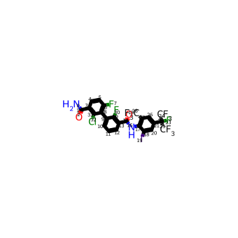 NC(=O)c1ccc(F)c(-c2cccc(C(=O)Nc3c(I)cc(C(F)(C(F)(F)F)C(F)(F)F)cc3C(F)(F)F)c2F)c1Cl